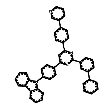 c1ccc(-c2cccc(-c3nc(-c4ccc(-c5cccnc5)cc4)cc(-c4ccc(-n5c6ccccc6c6ccccc65)cc4)n3)c2)cc1